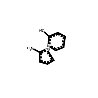 N#Cc1ccccn1.Nc1ccc[nH]1